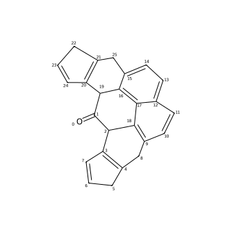 O=C1C2C3=C(CC=C3)Cc3ccc4ccc5c(c4c32)C1C1=C(CC=C1)C5